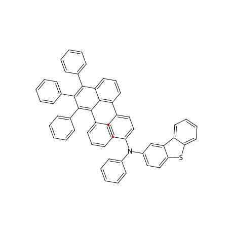 c1ccc(-c2c(-c3ccccc3)c(-c3ccccc3)c3c(-c4ccc(N(c5ccccc5)c5ccc6sc7ccccc7c6c5)cc4)cccc3c2-c2ccccc2)cc1